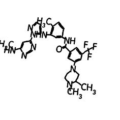 CNc1cc(-n2nccc2Nc2cc(NC(=O)c3cc(N4CCN(C)C(C)C4)cc(C(F)(F)F)c3)ccc2C)ncn1